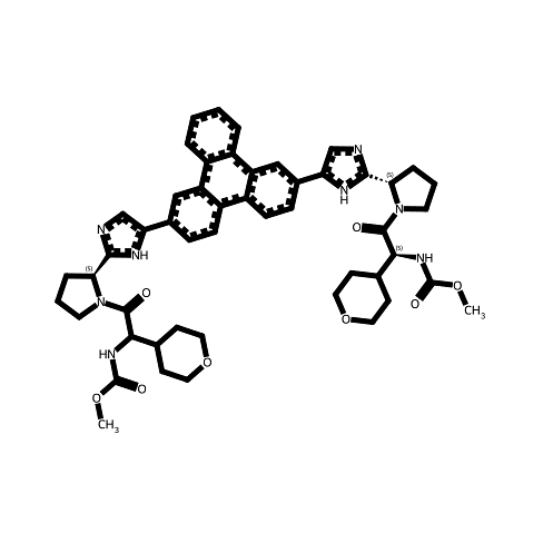 COC(=O)NC(C(=O)N1CCC[C@H]1c1ncc(-c2ccc3c4ccc(-c5cnc([C@@H]6CCCN6C(=O)[C@@H](NC(=O)OC)C6CCOCC6)[nH]5)cc4c4ccccc4c3c2)[nH]1)C1CCOCC1